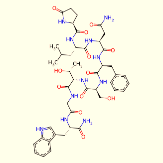 CC(C)C[C@H](NC(=O)[C@@H]1CCC(=O)N1)C(=O)N[C@@H](CC(N)=O)C(=O)N[C@@H](Cc1ccccc1)C(=O)N[C@@H](CO)C(=O)N[C@H](C(=O)NCC(=O)N[C@@H](Cc1c[nH]c2ccccc12)C(N)=O)[C@@H](C)O